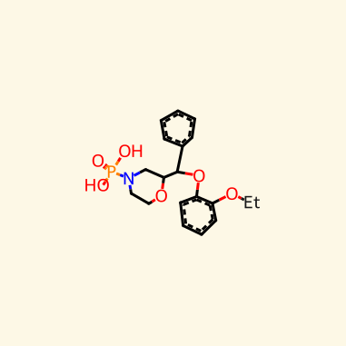 CCOc1ccccc1OC(c1ccccc1)C1CN(P(=O)(O)O)CCO1